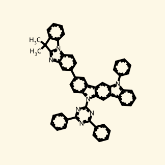 CC1(C)c2ccccc2-n2c1nc1cc(-c3ccc4c(c3)c3cc5c(cc3n4-c3nc(-c4ccccc4)nc(-c4ccccc4)n3)c3ccccc3n5-c3ccccc3)ccc12